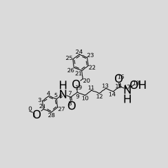 COc1ccc(NC(=O)C(CCCCCC(=O)NO)OCc2ccccc2)cc1